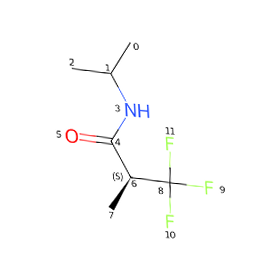 CC(C)NC(=O)[C@H](C)C(F)(F)F